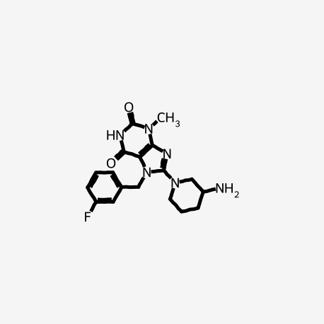 Cn1c(=O)[nH]c(=O)c2c1nc(N1CCCC(N)C1)n2Cc1cccc(F)c1